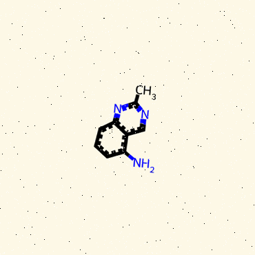 Cc1ncc2c(N)cccc2n1